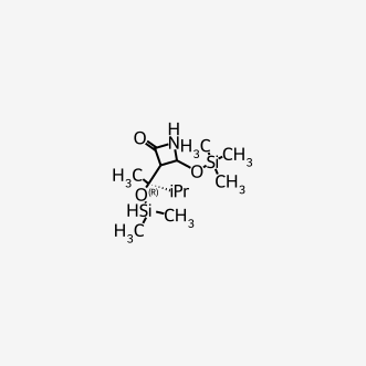 CC(C)[C@@](C)(O[SiH](C)C)C1C(=O)NC1O[Si](C)(C)C